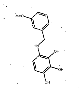 COc1cccc(CNc2ccc(O)c(O)c2O)c1